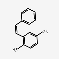 Cc1ccc(C)c(/C=C\c2ccccc2)c1